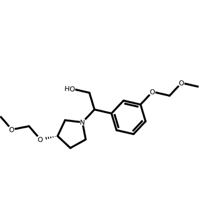 COCOc1cccc(C(CO)N2CC[C@H](OCOC)C2)c1